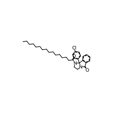 CCCCCCCCCCCCCCCC(=O)N1CCN2C(=O)c3ccccc3C12c1ccc(Cl)cc1